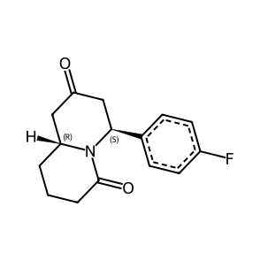 O=C1C[C@H]2CCCC(=O)N2[C@H](c2ccc(F)cc2)C1